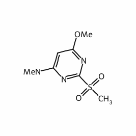 CNc1cc(OC)nc(S(C)(=O)=O)n1